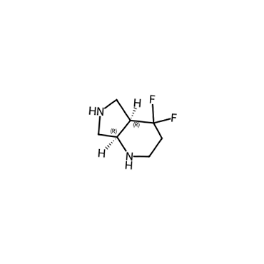 FC1(F)CCN[C@H]2CNC[C@H]21